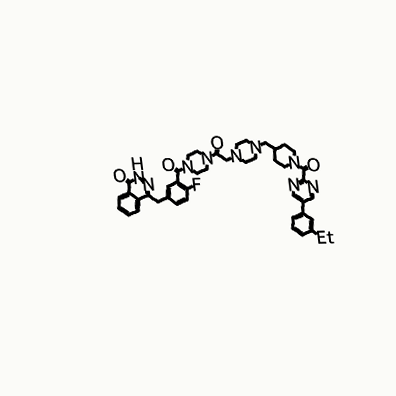 CCc1cccc(-c2cnc(C(=O)N3CCC(CN4CCN(CC(=O)N5CCN(C(=O)c6cc(Cc7n[nH]c(=O)c8ccccc78)ccc6F)CC5)CC4)CC3)nc2)c1